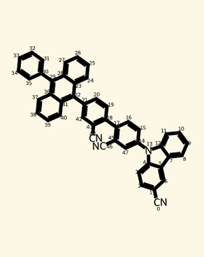 N#Cc1ccc2c(c1)c1ccccc1n2-c1ccc(-c2ccc(-c3c4ccccc4c(-c4ccccc4)c4ccccc34)cc2C#N)c(C#N)c1